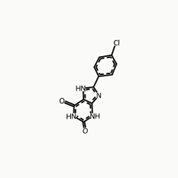 O=c1[nH]c(=O)c2[nH]c(-c3ccc(Cl)cc3)nc2[nH]1